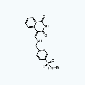 CCNS(=O)(=O)c1ccc(CNC=C2C(=O)NC(=O)c3ccccc32)cc1